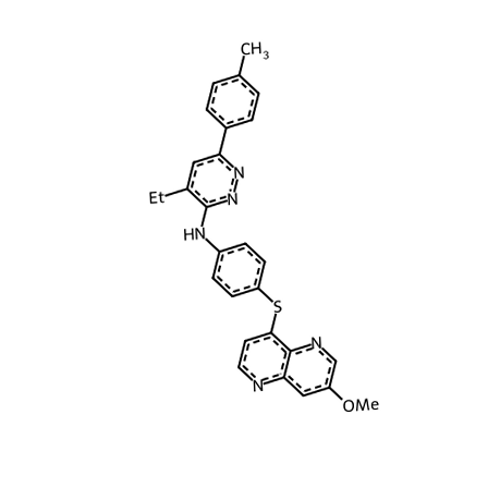 CCc1cc(-c2ccc(C)cc2)nnc1Nc1ccc(Sc2ccnc3cc(OC)cnc23)cc1